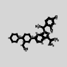 C=C(N)c1nn(C(C)c2ccc(Cl)cc2Cl)c2nc(N3CCC(N4CCCCC4)C(CO)C3)cnc12